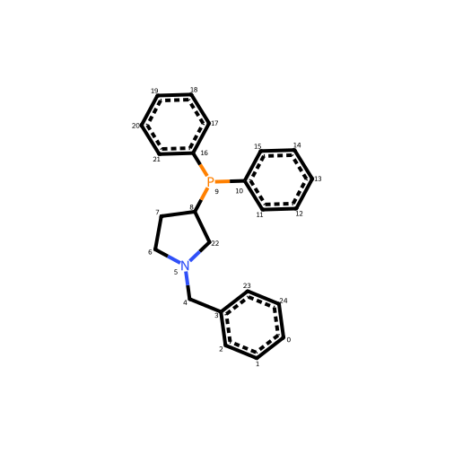 c1ccc(CN2CCC(P(c3ccccc3)c3ccccc3)C2)cc1